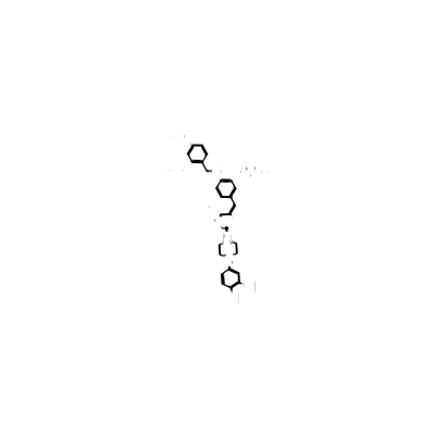 COc1cc(C=C2SC(N3CCN(c4ccc(Cl)c(Cl)c4)CC3)=NC2=O)ccc1OCc1ccc(C(F)(F)F)cc1C(F)(F)F